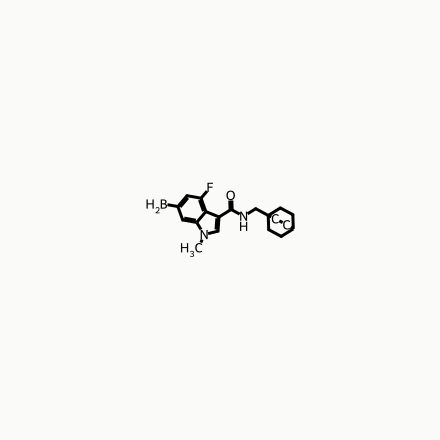 Bc1cc(F)c2c(C(=O)NCC34CCC(CC3)CC4)cn(C)c2c1